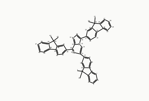 CC1(C)c2ccccc2-c2ccc(-c3cn4c(-c5ccc6c(c5)C(C)(C)c5ccccc5-6)cnc4c(-c4ccc5c(c4)C(C)(C)c4ccccc4-5)n3)cc21